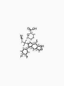 CC(C)(CC#N)c1c([C@H]2CCC(C(=O)O)OC2)c2c(F)c3[nH]ncc3cc2n1-c1ccc(F)c(F)c1